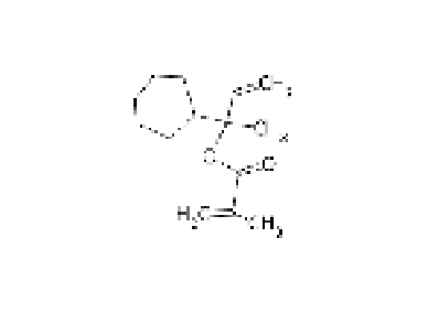 C=CC(C)(OC(=O)C(=C)C)C1CCCCC1